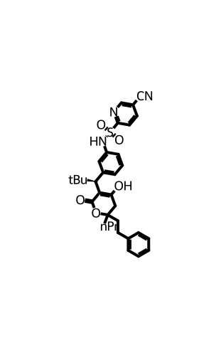 CCCC1(CCc2ccccc2)CC(O)=C([C@H](c2cccc(NS(=O)(=O)c3ccc(C#N)cn3)c2)C(C)(C)C)C(=O)O1